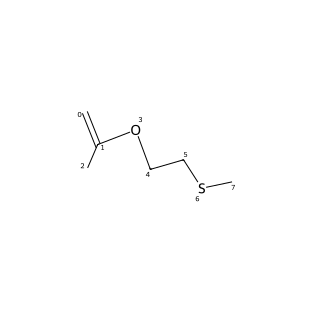 C=C(C)OCCSC